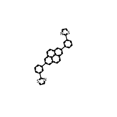 c1cc(-c2cc3ccc4cc(-c5cccc(-c6nccs6)c5)cc5ccc(c2)c3c45)cc(-c2nccs2)c1